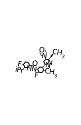 CC#Cc1nnc(-c2cc(NC(=O)c3ccc(F)c(C(C)C)c3)c(F)cc2C)cc1N1CCOCC1